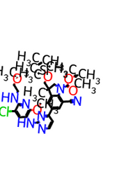 COCCNc1nc(OC)c(Nc2nccc(-c3cc(C#N)c4c(c3)C(C)(CO[Si](C)(C)C(C)(C)C)CN4C(=O)OC(C)(C)C)n2)cc1Cl